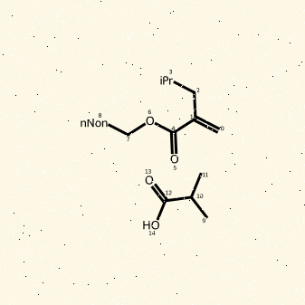 C=C(CC(C)C)C(=O)OCCCCCCCCCC.CC(C)C(=O)O